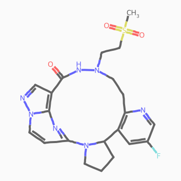 CS(=O)(=O)CCN1CCc2ncc(F)cc2C2CCCN2c2ccn3ncc(c3n2)C(=O)N1